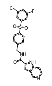 O=C(NCc1ccc(S(=O)(=O)c2cc(F)cc(Cl)c2)cc1)c1cc2cnccc2[nH]1